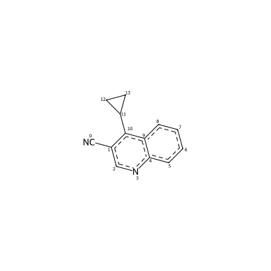 N#Cc1cnc2ccccc2c1C1CC1